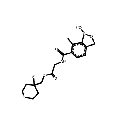 Cc1c(C(=O)NCC(=O)OCC2(F)CCOCC2)ccc2c1B(O)OC2